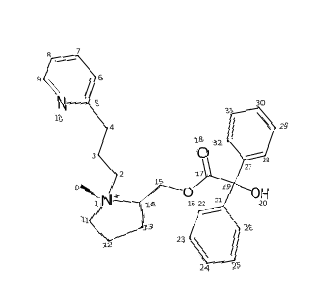 C[N@+]1(CCCc2ccccn2)CCCC1COC(=O)C(O)(c1ccccc1)c1ccccc1